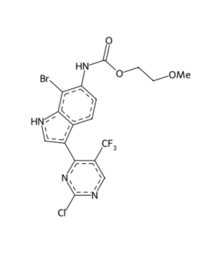 COCCOC(=O)Nc1ccc2c(-c3nc(Cl)ncc3C(F)(F)F)c[nH]c2c1Br